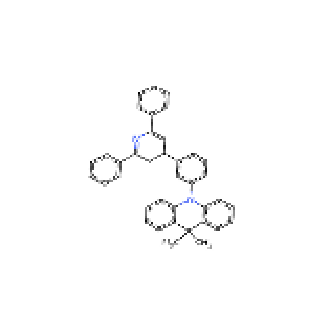 CC1(C)c2ccccc2N(c2cccc(C3C=C(c4ccccc4)N=C(c4ccccc4)C3)c2)c2ccccc21